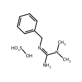 CN(C)C(N)=NCc1ccccc1.O=S(=O)(O)O